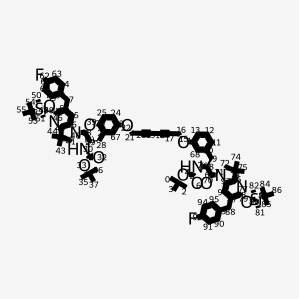 CC(C)(C)OC(=O)N[C@@H](Cc1cccc(OCC#CC#CCOc2cccc(C[C@H](NC(=O)OC(C)(C)C)C(=O)N3CC(C)(C)c4nc(O[Si](C)(C)C(C)(C)C)c(Cc5ccc(F)cc5)cc43)c2)c1)C(=O)N1CC(C)(C)c2nc(O[Si](C)(C)C(C)(C)C)c(Cc3ccc(F)cc3)cc21